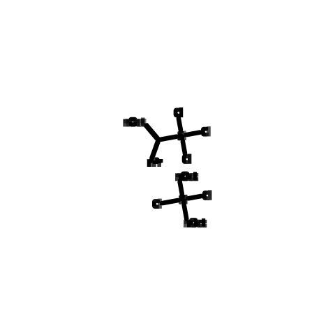 CCCCCCCCC(CCC)[Si](Cl)(Cl)Cl.CCCCCCCC[Si](Cl)(Cl)CCCCCCCC